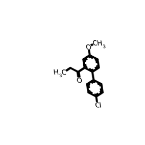 CCC(=O)c1cc(OC)ccc1-c1ccc(Cl)cc1